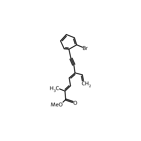 C=C/C(C#Cc1ccccc1Br)=C\C=C(/C)C(=O)OC